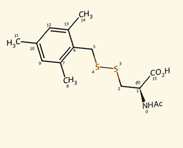 CC(=O)N[C@@H](CSSCc1c(C)cc(C)cc1C)C(=O)O